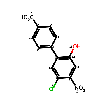 O=C(O)c1ccc(-c2cc(Cl)c([N+](=O)[O-])cc2O)cc1